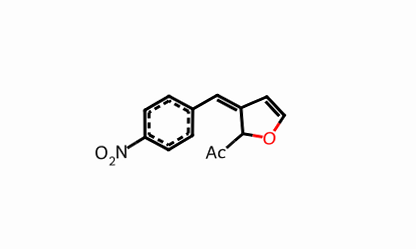 CC(=O)C1OC=CC1=Cc1ccc([N+](=O)[O-])cc1